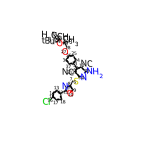 [C-]#[N+]c1c(N)nc(SCc2coc(-c3ccc(Cl)cc3)n2)c(C#N)c1-c1ccc(OC[C@H](C)O[Si](C)(C)C(C)(C)C)cc1